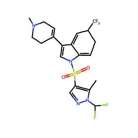 Cc1c(S(=O)(=O)n2cc(C3=CCN(C)CC3)c3c2=CCC(C(F)(F)F)C=3)cnn1C(F)F